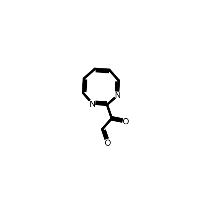 O=CC(=O)C1=NC=CC=CC=N1